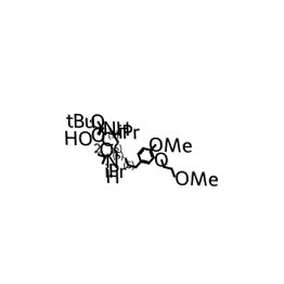 COCCCOc1cc(C[C@@H](C[C@@H]2NC(C)(C)O[C@H]2C[C@@](NC(=O)OC(C)(C)C)(C(=O)O)C(C)C)C(C)C)ccc1OC